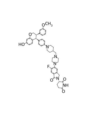 COc1cccc([C@@H]2COc3cc(O)ccc3[C@@H]2c2ccc(N3CCC(CN4CCN(c5cc6c(cc5F)C(=O)N([C@H]5CCC(=O)NC5=O)C6)CC4)CC3)cc2)c1